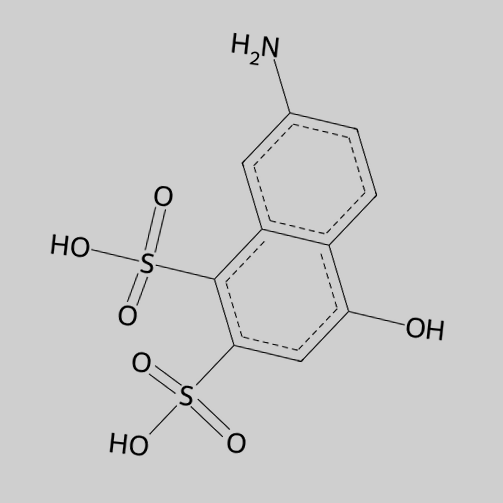 Nc1ccc2c(O)cc(S(=O)(=O)O)c(S(=O)(=O)O)c2c1